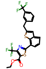 CCOC(=O)c1sc(-c2cccc3cc(Cc4cccc(C(F)(F)F)c4)sc23)nc1C(F)(F)F